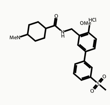 CNC1CCC(C(=O)NCc2cc(-c3cccc(S(C)(=O)=O)c3)ccc2OC)CC1.Cl